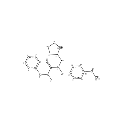 CC(Oc1ccccc1)C(=O)N(Cc1ccc(OC(F)(F)F)cc1)CC1CCCN1